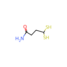 NC(=O)CCC(S)S